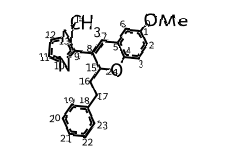 COc1ccc2c(c1)C=C(c1nccn1C)C(CCc1ccccc1)O2